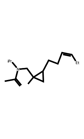 C=C(C)N(CC1(C)CC1CC/C=C\CC)C(C)C